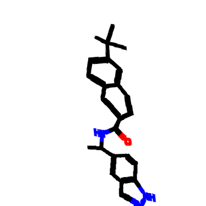 CC(NC(=O)c1ccc2cc(C(C)(C)C)ccc2c1)c1ccc2[nH]ncc2c1